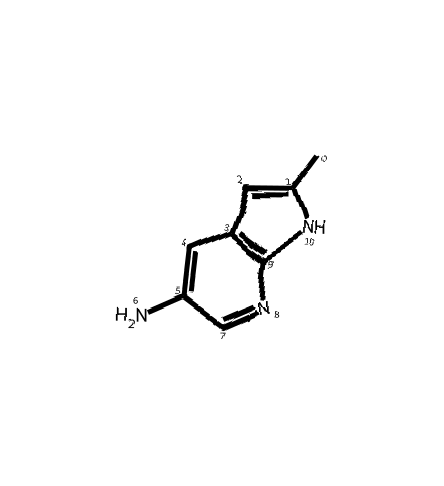 Cc1cc2cc(N)cnc2[nH]1